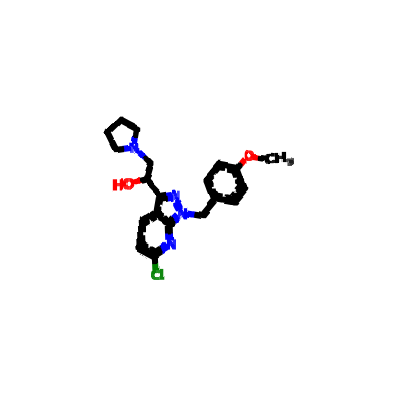 COc1ccc(Cn2nc(C(O)CN3CCCC3)c3ccc(Cl)nc32)cc1